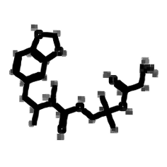 CC(Cc1ccc2c(c1)OCO2)N(C)C(=O)OCC(C)(C)OC(=O)CN